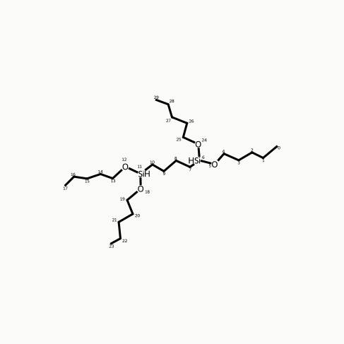 CCCCCO[SiH](CCCC[SiH](OCCCCC)OCCCCC)OCCCCC